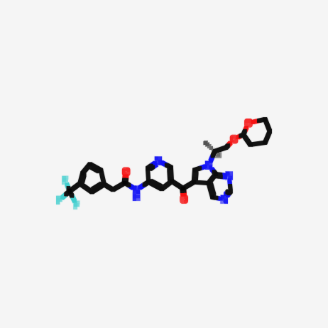 C[C@H](COC1CCCCO1)n1cc(C(=O)c2cncc(NC(=O)Cc3cccc(C(F)(F)F)c3)c2)c2cncnc21